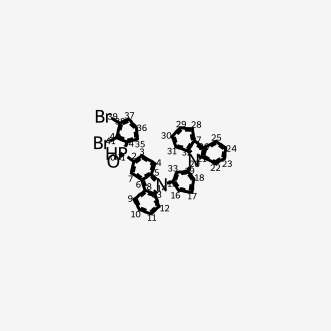 O=[PH](c1ccc2c(c1)c1ccccc1n2-c1cccc(-n2c3ccccc3c3ccccc32)c1)c1cccc(Br)c1Br